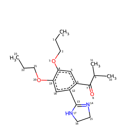 CCCOc1cc(C(=O)C(C)C)c(C2=NCCN2)cc1OCCC